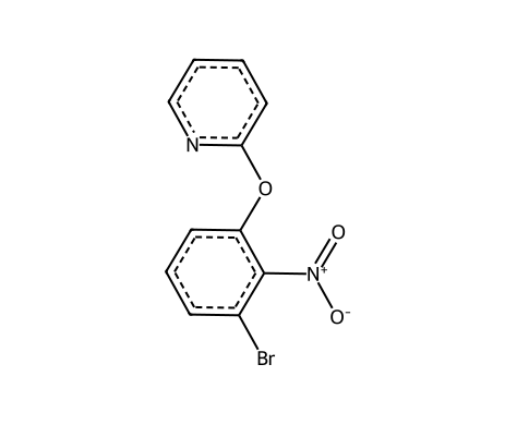 O=[N+]([O-])c1c(Br)cccc1Oc1ccccn1